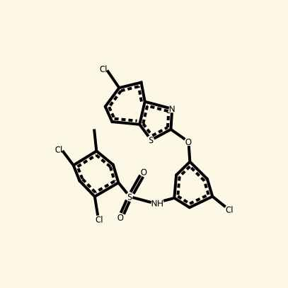 Cc1cc(S(=O)(=O)Nc2cc(Cl)cc(Oc3nc4cc(Cl)ccc4s3)c2)c(Cl)cc1Cl